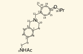 CC(=O)NCCc1ccc2c(c1)CCN(Cc1ccc(OC(C)C)cc1C)C2